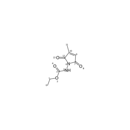 CCOC(=O)NN1C(=O)C=C(C)C1=O